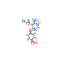 C=Cc1c(N)ncnc1Oc1ccc(O)cc1